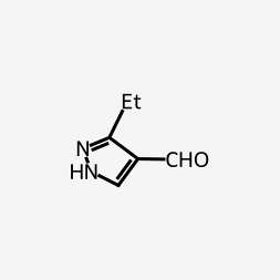 CCc1n[nH]cc1C=O